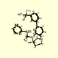 O=C(Nc1cnccn1)N1c2nc(-c3cccc(C(F)(F)F)c3)ccc2N2CC[C@H]1C2